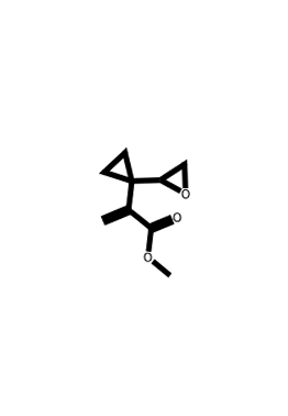 C=C(C(=O)OC)C1(C2CO2)CC1